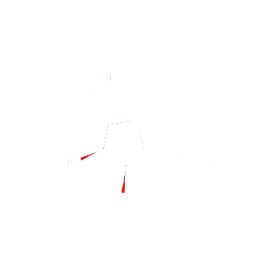 CS(=O)(=O)O[C@H]1O[C@@H](CO)[C@H](O)[C@@H]1O